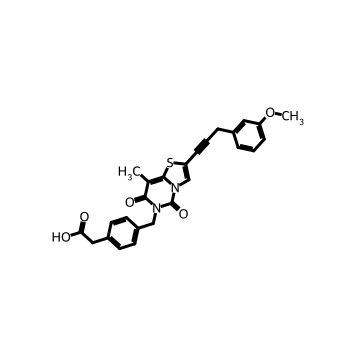 COc1cccc(CC#Cc2cn3c(=O)n(Cc4ccc(CC(=O)O)cc4)c(=O)c(C)c3s2)c1